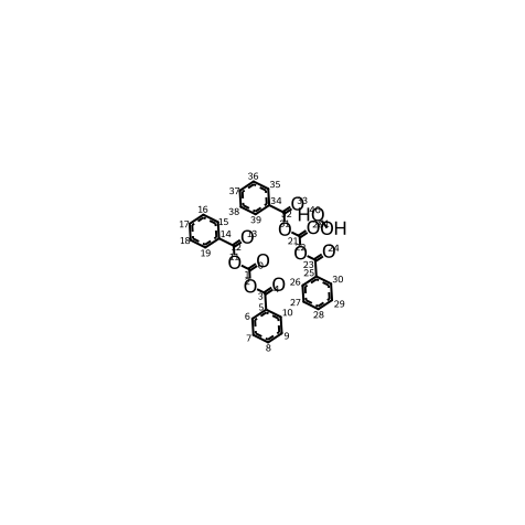 O=C(OC(=O)c1ccccc1)OC(=O)c1ccccc1.O=C(OC(=O)c1ccccc1)OC(=O)c1ccccc1.OO